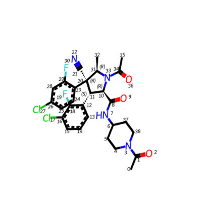 CC(=O)N1CCC(NC(=O)[C@H]2[C@H](c3cccc(Cl)c3F)[C@@](C#N)(c3ccc(Cl)cc3F)[C@@H](C)N2C(C)=O)CC1